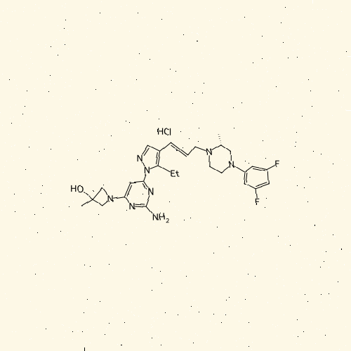 CCc1c(/C=C/CN2CCN(c3cc(F)cc(F)c3)C[C@H]2C)cnn1-c1cc(N2CC(C)(O)C2)nc(N)n1.Cl